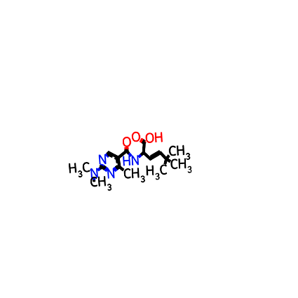 Cc1nc(N(C)C)ncc1C(=O)NC(C=CC(C)(C)C)C(=O)O